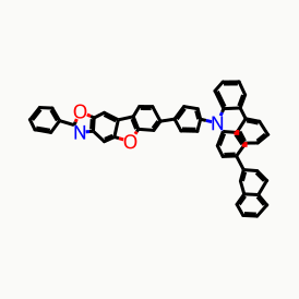 c1ccc(-c2nc3cc4oc5cc(-c6ccc(N(c7ccc(-c8ccc9ccccc9c8)cc7)c7ccccc7-c7ccccc7)cc6)ccc5c4cc3o2)cc1